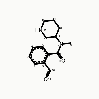 CN(C(=O)c1ccccc1C=O)C1CCCNC1